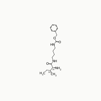 CC[C@H](C)[C@H](N)C(=O)NCCCCNC(=O)OCc1ccccc1